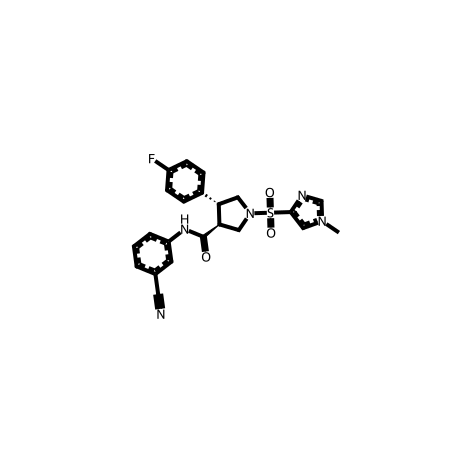 Cn1cnc(S(=O)(=O)N2C[C@@H](C(=O)Nc3cccc(C#N)c3)[C@H](c3ccc(F)cc3)C2)c1